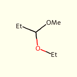 [CH2]COC(CC)OC